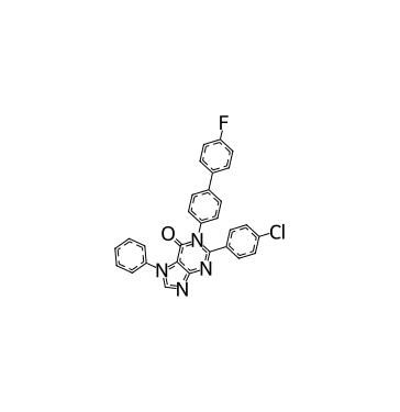 O=c1c2c(ncn2-c2ccccc2)nc(-c2ccc(Cl)cc2)n1-c1ccc(-c2ccc(F)cc2)cc1